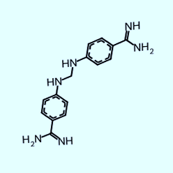 N=C(N)c1ccc(NCNc2ccc(C(=N)N)cc2)cc1